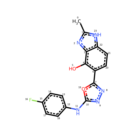 Cc1nc2c(O)c(-c3nnc(Nc4ccc(F)cc4)o3)ccc2[nH]1